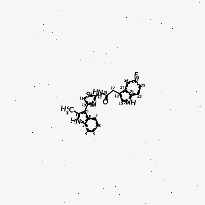 Cc1[nH]c2ccccc2c1-c1csc(NC(=O)Cc2c[nH]c3ccc(F)cc23)n1